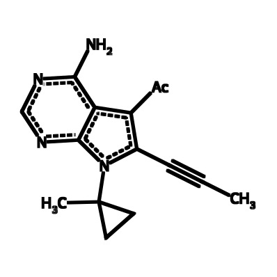 CC#Cc1c(C(C)=O)c2c(N)ncnc2n1C1(C)CC1